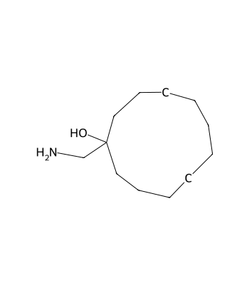 NCC1(O)CCCCCCCCCC1